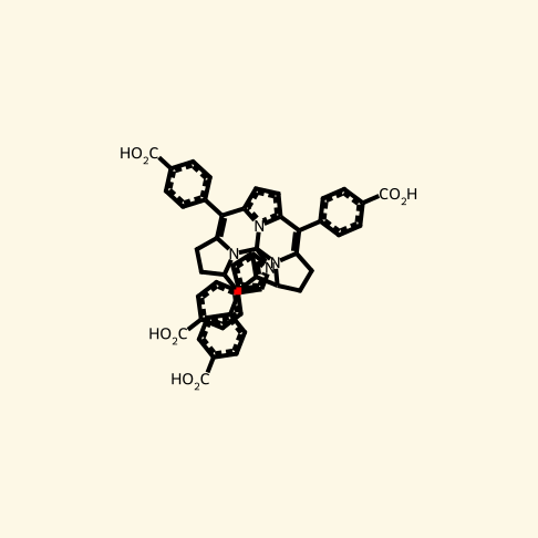 O=C(O)c1ccc(C2=C3CCC4C(c5ccc(C(=O)O)cc5)=c5ccc6n5C5(N34)N3C(=C(c4ccc(C(=O)O)cc4)c4ccc2n45)CCC3C=6c2ccc(C(=O)O)cc2)cc1